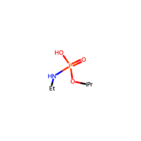 CCNP(=O)(O)OC(C)C